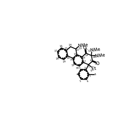 CCC1(c2ccccc2C)C(=O)C(NC)(NC)C(=O)c2c1ccc1c2C(NC)Cc2ccccc2-1